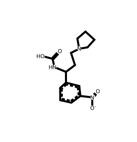 O=C(O)NC(CCN1CCCC1)c1cccc([N+](=O)[O-])c1